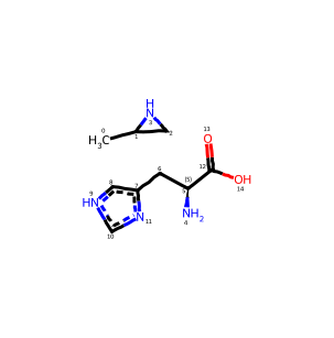 CC1CN1.N[C@@H](Cc1c[nH]cn1)C(=O)O